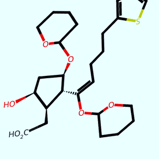 O=C(O)C[C@@H]1[C@@H](C(=CCCCc2cccs2)OC2CCCCO2)[C@H](OC2CCCCO2)C[C@@H]1O